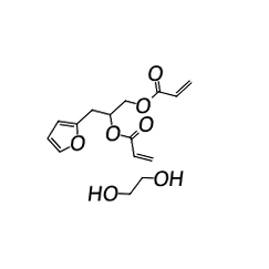 C=CC(=O)OCC(Cc1ccco1)OC(=O)C=C.OCCO